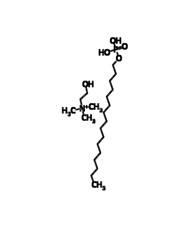 CCCCCCCCCCCCCCCCOP(=O)(O)O.C[N+](C)(C)CCO